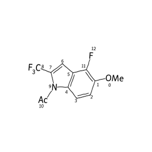 COc1ccc2c(cc(C(F)(F)F)n2C(C)=O)c1F